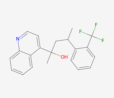 CC(CC(C)(O)c1ccnc2ccccc12)c1ccccc1C(F)(F)F